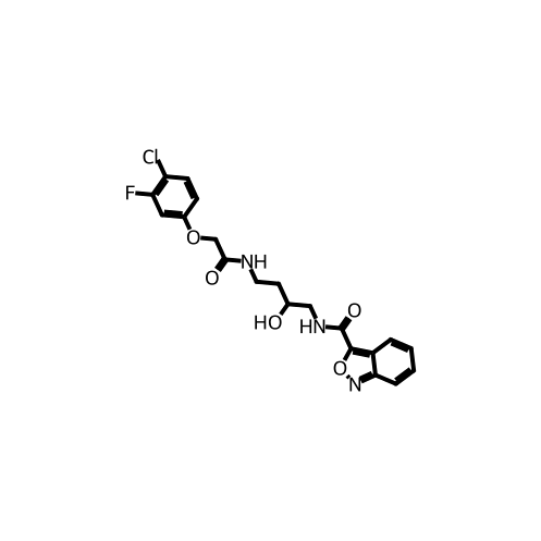 O=C(COc1ccc(Cl)c(F)c1)NCCC(O)CNC(=O)c1onc2ccccc12